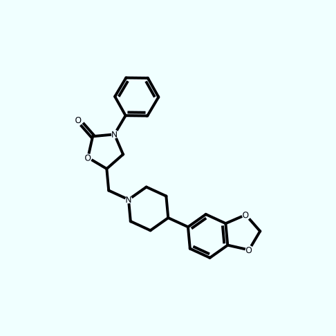 O=C1OC(CN2CCC(c3ccc4c(c3)OCO4)CC2)CN1c1ccccc1